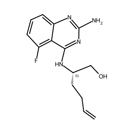 C=CCC[C@@H](CO)Nc1nc(N)nc2cccc(F)c12